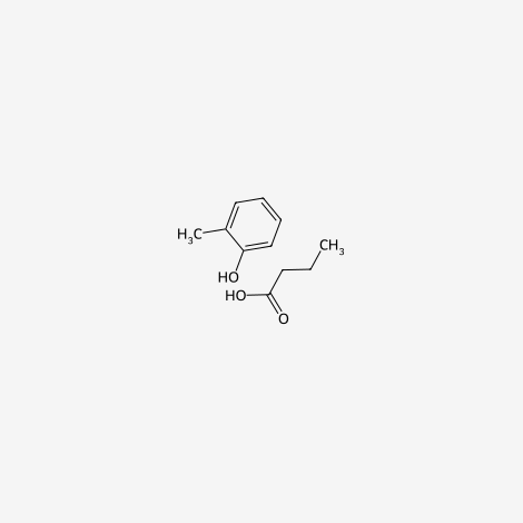 CCCC(=O)O.Cc1ccccc1O